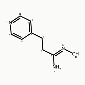 NC(CCc1ccncc1)=NO